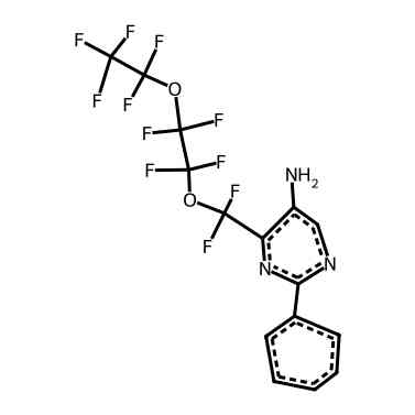 Nc1cnc(-c2ccccc2)nc1C(F)(F)OC(F)(F)C(F)(F)OC(F)(F)C(F)(F)F